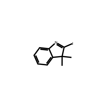 CC1(C)C(I)=Nc2ccccc21